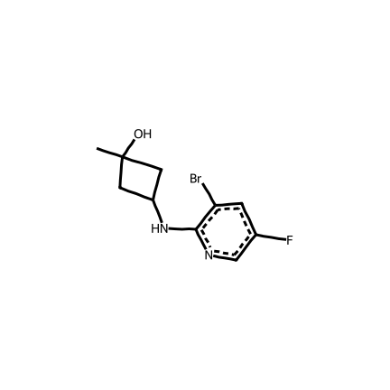 CC1(O)CC(Nc2ncc(F)cc2Br)C1